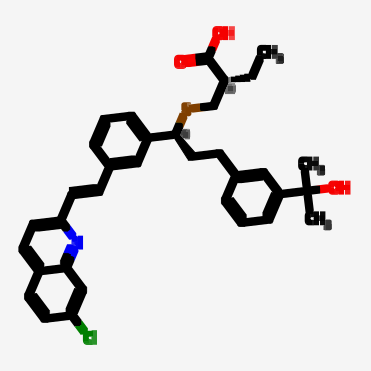 CC[C@H](CS[C@@H](CCc1cccc(C(C)(C)O)c1)c1cccc(C=Cc2ccc3ccc(Cl)cc3n2)c1)C(=O)O